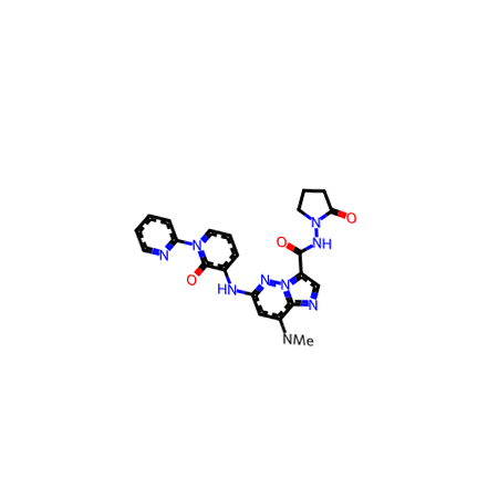 CNc1cc(Nc2cccn(-c3ccccn3)c2=O)nn2c(C(=O)NN3CCCC3=O)cnc12